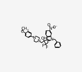 COc1ccc(N2CCN(CC(O)(c3cn(Cc4ccccc4)c4cc([N+](=O)[O-])ccc34)C(F)(F)F)CC2)cc1